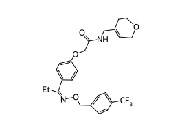 CCC(=NOCc1ccc(C(F)(F)F)cc1)c1ccc(OCC(=O)NCC2=CCOCC2)cc1